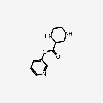 O=C(Oc1cccnc1)C1CNCCN1